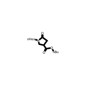 CCCCCCN1CC(C(=O)OCCCC)CC1=O